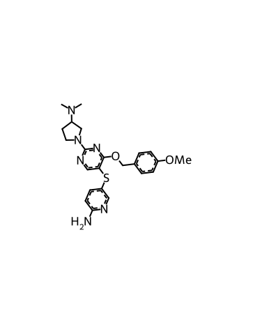 COc1ccc(COc2nc(N3CCC(N(C)C)C3)ncc2Sc2ccc(N)nc2)cc1